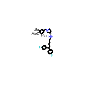 COc1c(C(C)(C)C)cc(CN2CC[C@H](CNCCCCCC(c3ccc(F)cc3)c3ccc(F)cc3)C2)cc1C(C)(C)C